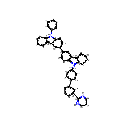 c1ccc(-n2c3ccccc3c3cc(-c4ccc5c(c4)c4ccccc4n5-c4ccc(-c5cccc(-c6ncccn6)c5)cc4)ccc32)cc1